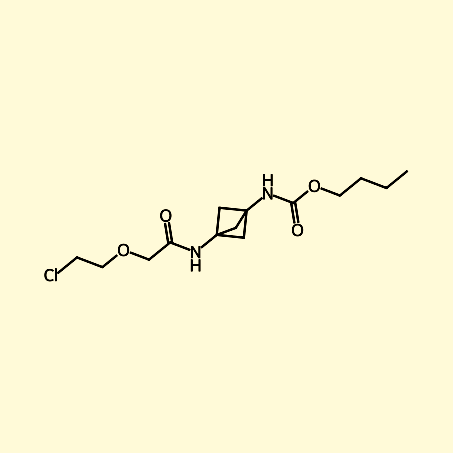 CCCCOC(=O)NC12CC(NC(=O)COCCCl)(C1)C2